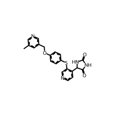 Cc1cncc(COc2ccc(Sc3cnccc3C3NC(=O)NC3=O)cc2)c1